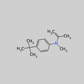 C=C(C)N(C)c1ccc(C(C)(C)C)cc1